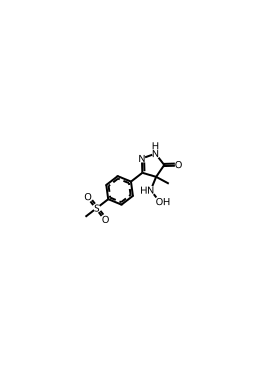 CC1(NO)C(=O)NN=C1c1ccc(S(C)(=O)=O)cc1